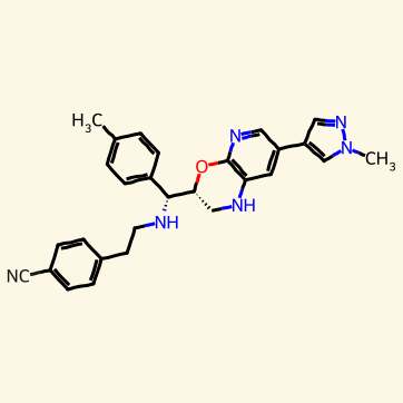 Cc1ccc([C@@H](NCCc2ccc(C#N)cc2)[C@H]2CNc3cc(-c4cnn(C)c4)cnc3O2)cc1